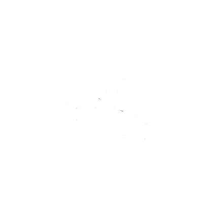 C=C1C[C@H]2[C@@H](C1)c1cc(C)ccc1O[C@H]2c1ccc(C)cc1